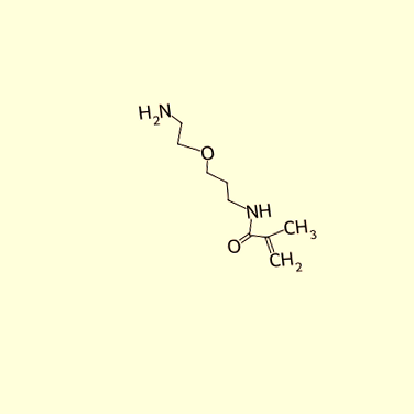 C=C(C)C(=O)NCCCOCCN